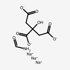 NC=O.O=C([O-])CC(O)(CC(=O)[O-])C(=O)[O-].[Na+].[Na+].[Na+]